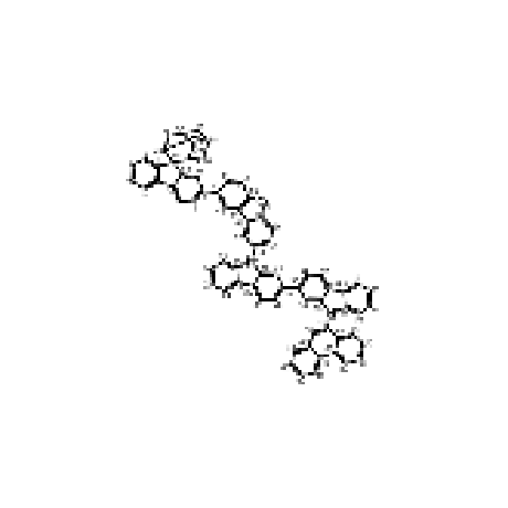 c1ccc2c(c1)-c1ccc(-c3ccc4oc5ccc(-n6c7ccccc7c7ccc(-c8ccc9c%10ccccc%10n(-c%10cc%11ccccc%11c%11ccccc%10%11)c9c8)cc76)cc5c4c3)cc1C21C2CC3CC(C2)CC1C3